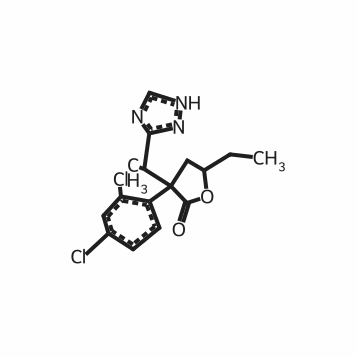 CCC1CC(c2ccc(Cl)cc2Cl)(C(C)c2nc[nH]n2)C(=O)O1